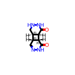 O=C1NN=C[C@@H]2[C@H]3CNNC(=O)[C@H]3[C@H]12